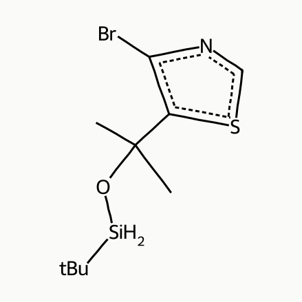 CC(C)(C)[SiH2]OC(C)(C)c1scnc1Br